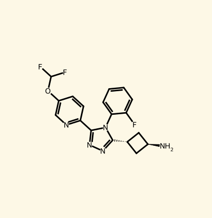 N[C@H]1C[C@H](c2nnc(-c3ccc(OC(F)F)cn3)n2-c2ccccc2F)C1